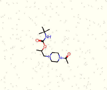 CC(=O)N1CCN(CC(C)OC(=O)NC(C)(C)C)CC1